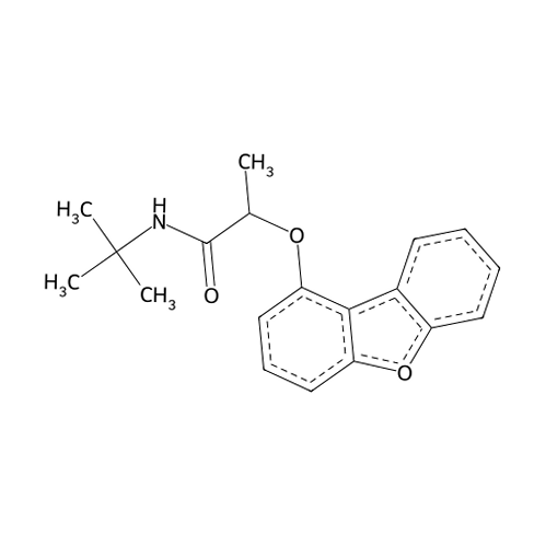 CC(Oc1cccc2oc3ccccc3c12)C(=O)NC(C)(C)C